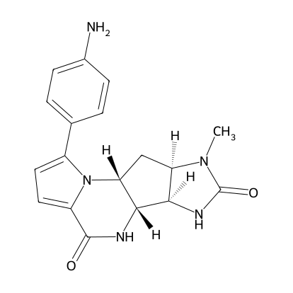 CN1C(=O)N[C@H]2[C@@H]3NC(=O)c4ccc(-c5ccc(N)cc5)n4[C@@H]3C[C@H]21